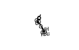 CCCCOC(=O)NCCOCCOS(=O)(=O)c1ccc(C)cc1